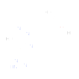 COc1ccc(-c2ccc3nc(C)c(-c4nc(-c5ccccc5)c(-c5nc[nH]n5)s4)n3c2)cc1OC